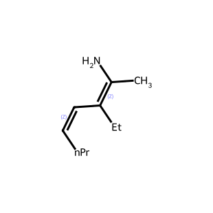 CCC/C=C\C(CC)=C(\C)N